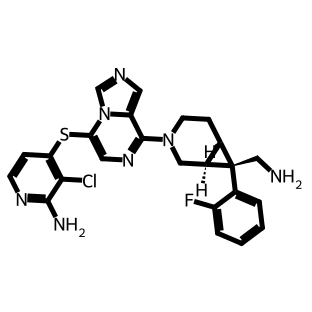 NC[C@]1(c2ccccc2F)[C@@H]2CCN(c3ncc(Sc4ccnc(N)c4Cl)n4cncc34)C[C@@H]21